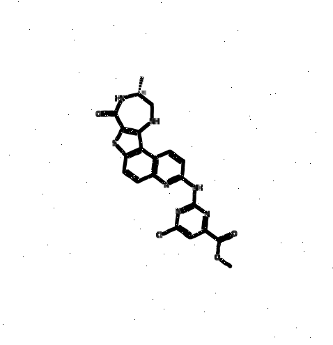 COC(=O)c1cc(Cl)nc(Nc2ccc3c(ccc4sc5c(c43)NC[C@@H](C)NC5=O)n2)n1